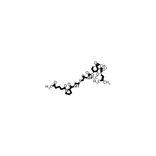 CO[C@H]1[C@H](C2(C)O[C@@H]2CC=C(C)C)[C@]2(CC[C@H]1OC(=O)NC(=O)CSCCNC(=O)C1CCCN1C(=O)CCCC(C)=O)CO2